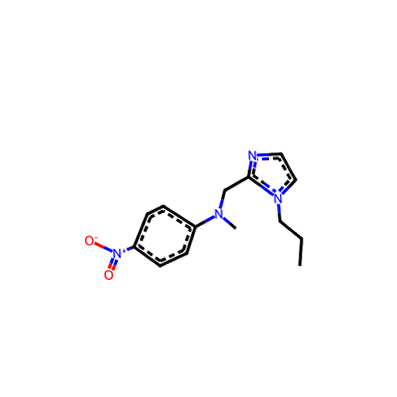 CCCn1ccnc1CN(C)c1ccc([N+](=O)[O-])cc1